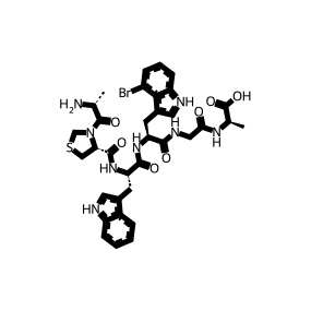 C[C@@H](N)C(=O)N1CSC[C@H]1C(=O)N[C@@H](Cc1c[nH]c2ccccc12)C(=O)N[C@@H](Cc1c[nH]c2cccc(Br)c12)C(=O)NCC(=O)N[C@H](C)C(=O)O